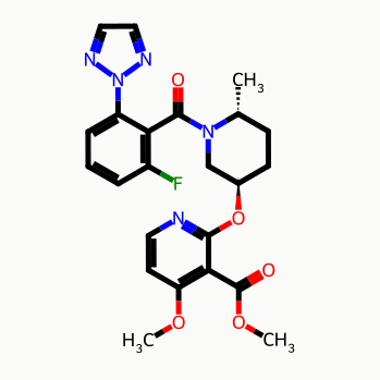 COC(=O)c1c(OC)ccnc1O[C@@H]1CC[C@@H](C)N(C(=O)c2c(F)cccc2-n2nccn2)C1